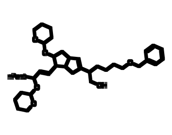 CCCCCC(C=CC1C(OC2CCCCO2)CC2C=C(C(CO)CCCCOCc3ccccc3)CC21)OC1CCCCO1